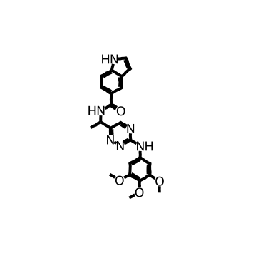 COc1cc(Nc2ncc(C(C)NC(=O)c3ccc4[nH]ccc4c3)nn2)cc(OC)c1OC